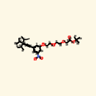 CC(C)[Si](C#Cc1cc(OCCOCCOCC(=O)OC(C)(C)C)cc([N+](=O)[O-])c1)(C(C)C)C(C)C